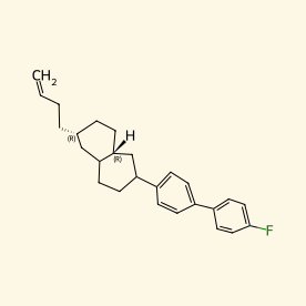 C=CCC[C@@H]1CC[C@@H]2CC(c3ccc(-c4ccc(F)cc4)cc3)CCC2C1